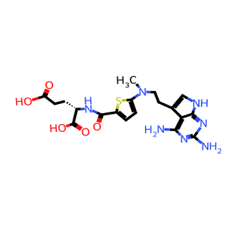 CN(CCc1c[nH]c2nc(N)nc(N)c12)c1ccc(C(=O)N[C@@H](CCC(=O)O)C(=O)O)s1